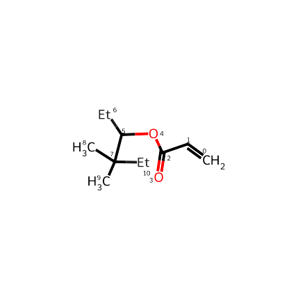 C=CC(=O)OC(CC)C(C)(C)CC